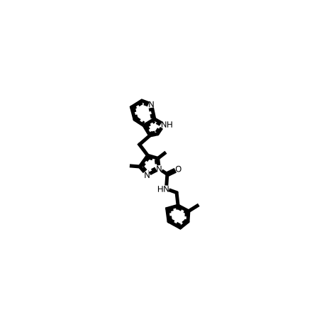 Cc1ccccc1CNC(=O)n1nc(C)c(Cc2c[nH]c3ncccc23)c1C